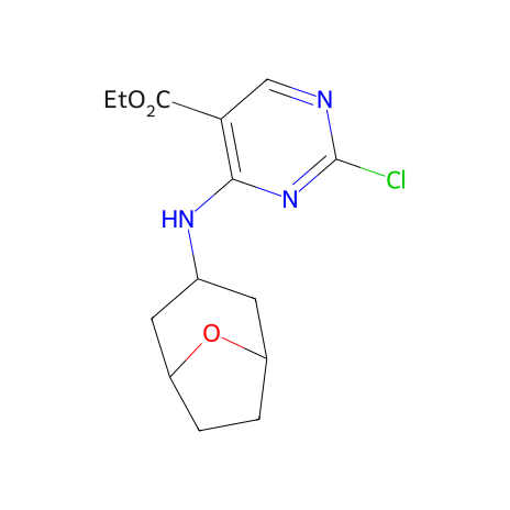 CCOC(=O)c1cnc(Cl)nc1NC1CC2CCC(C1)O2